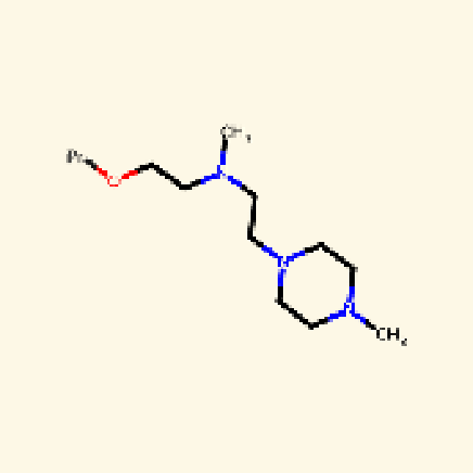 CC(C)OCCN(C)CCN1CCN(C)CC1